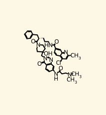 Cc1cc(Cl)c2ccc(C(=O)NCCC[C@@H](Cc3ccccc3)C(=O)N3CCC(O)(Cn4cnc5cc(NC(=O)CCN(C)C)ccc5c4=O)CC3)cc2n1